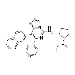 CCC(C)N1CCC[C@H]1CNc1nc(-c2ccncc2)c(-c2ccc3ccccc3c2)c2nncn12